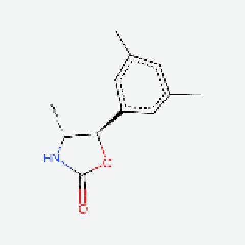 Cc1cc(C)cc([C@H]2OC(=O)N[C@@H]2C)c1